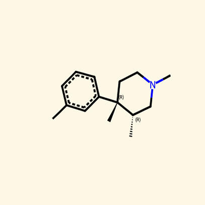 Cc1cccc([C@]2(C)CCN(C)C[C@@H]2C)c1